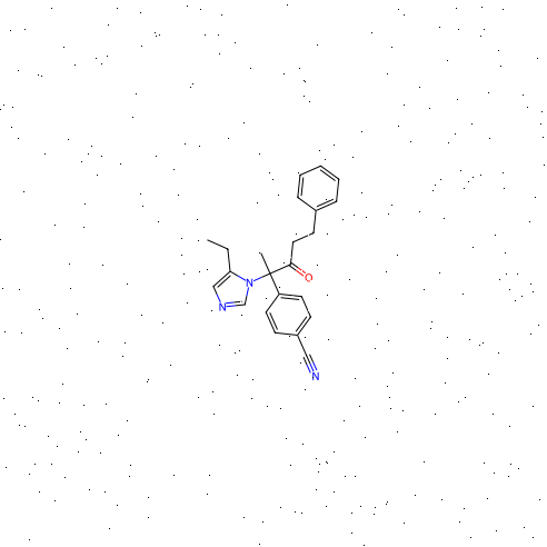 CCc1cncn1C(C)(C(=O)CCc1ccccc1)c1ccc(C#N)cc1